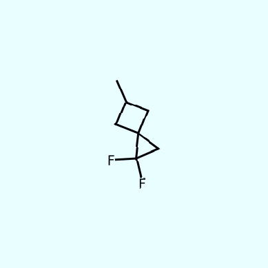 CC1CC2(C1)CC2(F)F